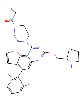 C=CC(=O)N1CCN(c2nc(OCC3CCCN3C)nc3cc(-c4c(Cl)cccc4Cl)c4ccoc4c23)CC1